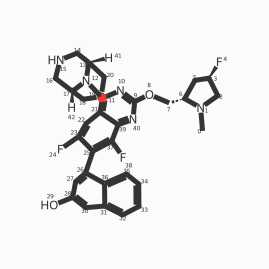 CN1C[C@H](F)C[C@H]1COc1nc(N2[C@@H]3CNC[C@H]2COC3)c2cc(F)c(-c3cc(O)cc4ccccc34)c(F)c2n1